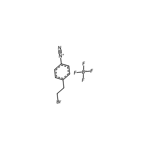 F[B-](F)(F)F.N#[N+]c1ccc(CCBr)cc1